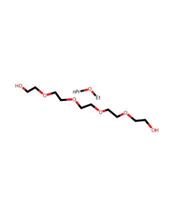 CCCOCC.OCCOCCOCCOCCOCCO